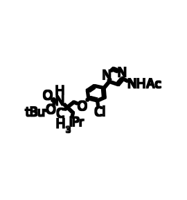 CC(=O)Nc1cc(-c2ccc(OCC(C)(CC(C)C)NC(=O)OC(C)(C)C)c(Cl)c2)ncn1